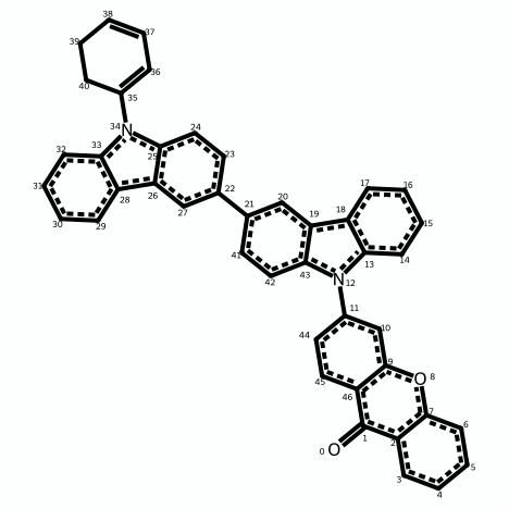 O=c1c2ccccc2oc2cc(-n3c4ccccc4c4cc(-c5ccc6c(c5)c5ccccc5n6C5=CC=CCC5)ccc43)ccc12